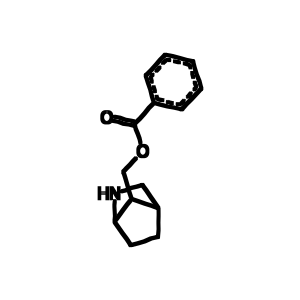 O=C(OCC1C2CCC1NC2)c1ccccc1